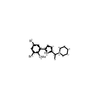 COc1c(Br)cc(Br)cc1-c1ccc(C(C)N2CCCCC2)[nH]1